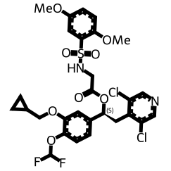 COc1ccc(OC)c(S(=O)(=O)NCC(=O)O[C@@H](Cc2c(Cl)cncc2Cl)c2ccc(OC(F)F)c(OCC3CC3)c2)c1